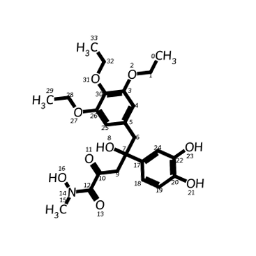 CCOc1cc(CC(O)(CC(=O)C(=O)N(C)O)c2ccc(O)c(O)c2)cc(OCC)c1OCC